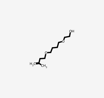 C=C(C)CCOCCCCOCCO